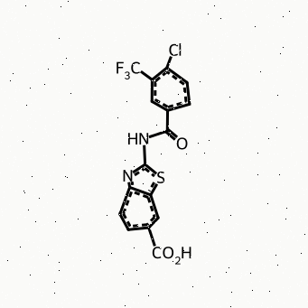 O=C(O)c1ccc2nc(NC(=O)c3ccc(Cl)c(C(F)(F)F)c3)sc2c1